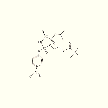 CC(C)OC(=O)[C@H](C)NP(=O)(OCCSC(=O)C(C)(C)C)Oc1ccc([N+](=O)[O-])cc1